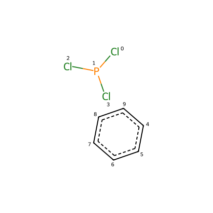 ClP(Cl)Cl.c1ccccc1